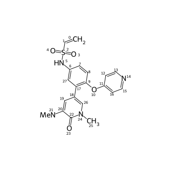 C=CS(=O)(=O)Nc1ccc(Oc2ccncc2)c(-c2cc(NC)c(=O)n(C)c2)c1